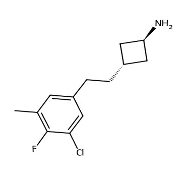 Cc1cc(CC[C@H]2C[C@H](N)C2)cc(Cl)c1F